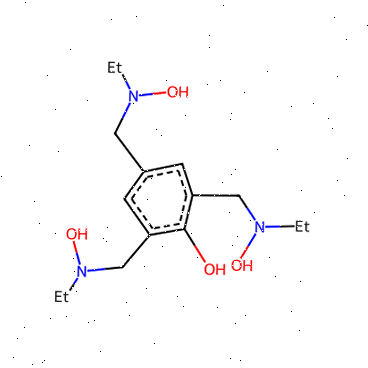 CCN(O)Cc1cc(CN(O)CC)c(O)c(CN(O)CC)c1